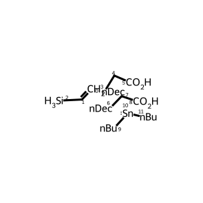 C=C[SiH3].CCCCCCCCCCCC(=O)O.CCCCCCCCCCCC(=O)O.CCC[CH2][Sn][CH2]CCC